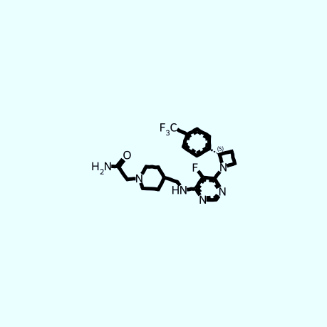 NC(=O)CN1CCC(CNc2ncnc(N3CC[C@H]3c3ccc(C(F)(F)F)cc3)c2F)CC1